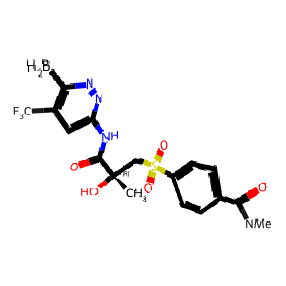 Bc1nnc(NC(=O)[C@@](C)(O)CS(=O)(=O)c2ccc(C(=O)NC)cc2)cc1C(F)(F)F